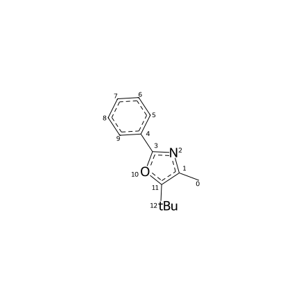 Cc1nc(-c2ccccc2)oc1C(C)(C)C